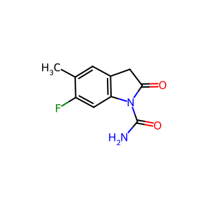 Cc1cc2c(cc1F)N(C(N)=O)C(=O)C2